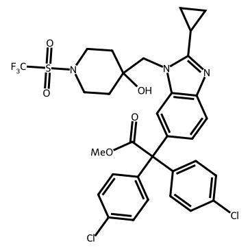 COC(=O)C(c1ccc(Cl)cc1)(c1ccc(Cl)cc1)c1ccc2nc(C3CC3)n(CC3(O)CCN(S(=O)(=O)C(F)(F)F)CC3)c2c1